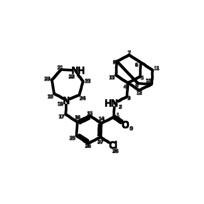 O=C(NCC12CC3CC(CC(C3)C1)C2)c1cc(CN2CCCNCC2)ccc1Cl